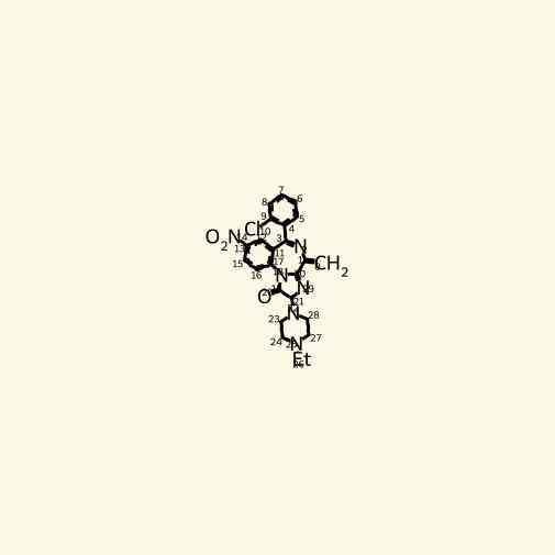 C=C1N=C(c2ccccc2Cl)c2cc([N+](=O)[O-])ccc2N2C(=O)C(N3CCN(CC)CC3)N=C12